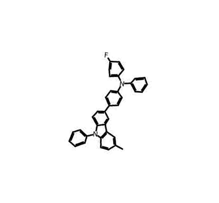 Cc1ccc2c(c1)c1cc(-c3ccc(N(c4ccccc4)c4ccc(F)cc4)cc3)ccc1n2-c1ccccc1